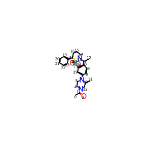 CC(=O)N1CCN(c2ccc(C(C)N3CCCC(c4ccccc4)S3(=O)=O)c(F)c2)C(C)C1